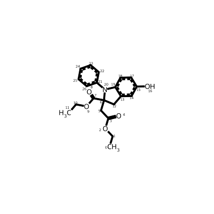 CCOC(=O)CC1(C(=O)OCC)Cc2cc(O)ccc2N1c1ccccc1